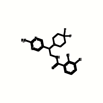 O=C(NCC(c1cnc(C(F)(F)F)nc1)N1CCC(F)(F)CC1)c1cccc(Cl)c1Cl